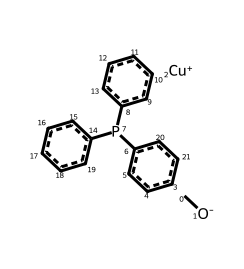 C[O-].[Cu+].c1ccc(P(c2ccccc2)c2ccccc2)cc1